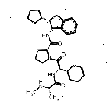 CN[C@@H](C)C(=O)N[C@H](C(=O)N1CCC[C@H]1C(=O)N[C@H]1c2ccccc2C[C@H]1C1CCCC1)C1CCCCC1